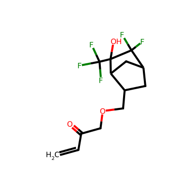 C=CC(=O)COCC1CC2CC1C(O)(C(F)(F)F)C2(F)F